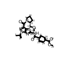 C=C(C)n1nc(C(=O)N2CCC[C@H]2COC)c2sc(NC(=O)c3ccc(C(=O)OC)cc3)nc21